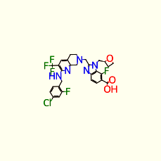 O=C(O)c1ccc2nc(CN3CCc4cc(C(F)(F)F)c(NCc5ccc(Cl)cc5F)nc4C3)n(C[C@@H]3CCO3)c2c1F